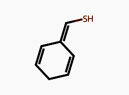 SC=C1C=CCC=C1